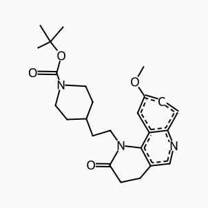 COc1ccc2ncc3c(c2c1)N(CCC1CCN(C(=O)OC(C)(C)C)CC1)C(=O)CC3